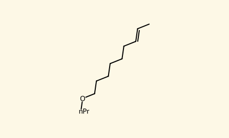 CC=CCCCCCCOCCC